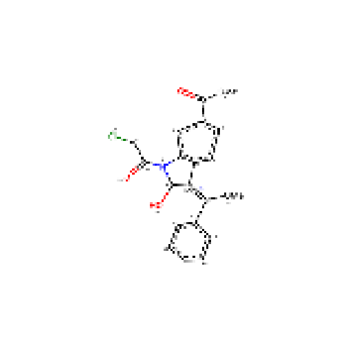 COC(=O)c1ccc2c(c1)N(C(=O)CCl)C(O)/C2=C(/OC)c1ccccc1